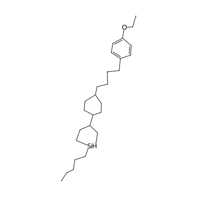 CCCCC[SiH]1CCC(C2CCC(CCCCc3ccc(OCC)cc3)CC2)CC1